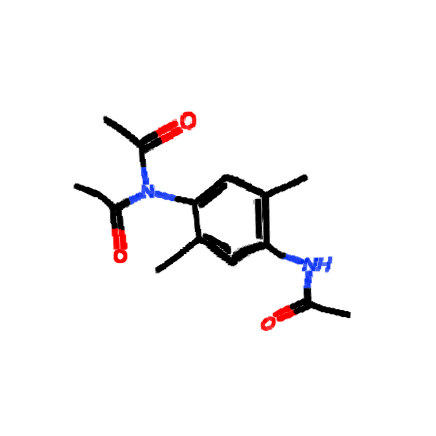 CC(=O)Nc1cc(C)c(N(C(C)=O)C(C)=O)cc1C